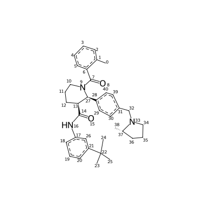 Cc1ccccc1C(=O)N1CCC[C@H](C(=O)Nc2cccc(C(C)(C)C)c2)[C@@H]1c1ccc(CN2CCC[C@@H]2C)cc1